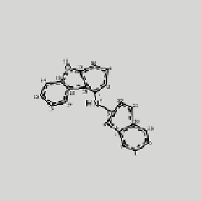 c1ccc2cc(Nc3cccc4oc5ccccc5c34)ccc2c1